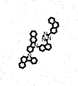 c1ccc2cc3c(cc2c1)c1ccc(-n2c4ccccc4c4c5ccccc5ccc42)cc1n3-c1ccc2cccc(-c3ncnc(-c4ccc5ccc6ccccc6c5c4)n3)c2c1